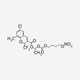 Cc1cc(Cl)cc2c1O[C@H](C(F)(F)F)C(C(=O)OC(C)OC(=O)OCCCCO[N+](=O)[O-])=C2